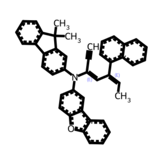 C#C/C(=C\C(=C/C)c1cccc2ccccc12)N(c1ccc2c(c1)C(C)(C)c1ccccc1-2)c1ccc2oc3ccccc3c2c1